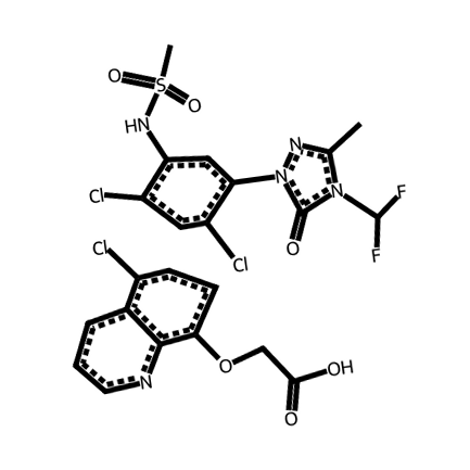 Cc1nn(-c2cc(NS(C)(=O)=O)c(Cl)cc2Cl)c(=O)n1C(F)F.O=C(O)COc1ccc(Cl)c2cccnc12